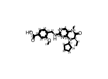 CC[C@@H]1C(=O)N(C)c2cnc(NCc3ccc(C(=O)O)cc3OC)nc2N1C1CCCC1